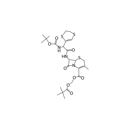 CC1=C(C(=O)OCOC(=O)C(C)(C)C)N2C(=O)C(NC(=O)C(NC(=O)OC(C)(C)C)C3=CSCCS3)C2SC1